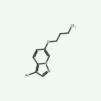 CC(=O)c1cnn2cc(OCCCC(F)(F)F)ccc12